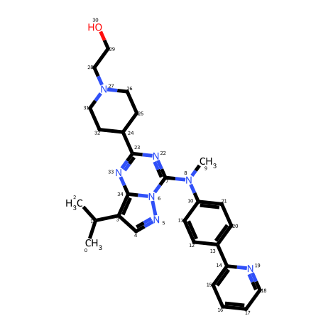 CC(C)c1cnn2c(N(C)c3ccc(-c4ccccn4)cc3)nc(C3CCN(CCO)CC3)nc12